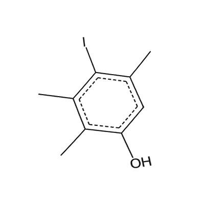 Cc1cc(O)c(C)c(C)c1I